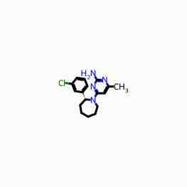 Cc1cc(N2CCCCC[C@@H]2c2cccc(Cl)c2)nc(N)n1